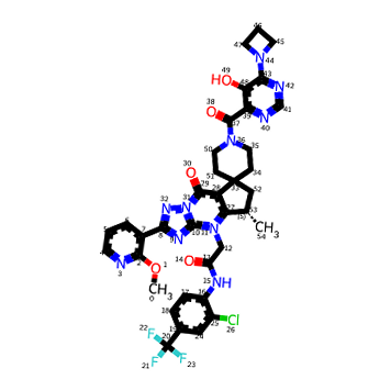 COc1ncccc1-c1nc2n(CC(=O)Nc3ccc(C(F)(F)F)cc3Cl)c3c(c(=O)n2n1)C1(CCN(C(=O)c2ncnc(N4CCC4)c2O)CC1)C[C@@H]3C